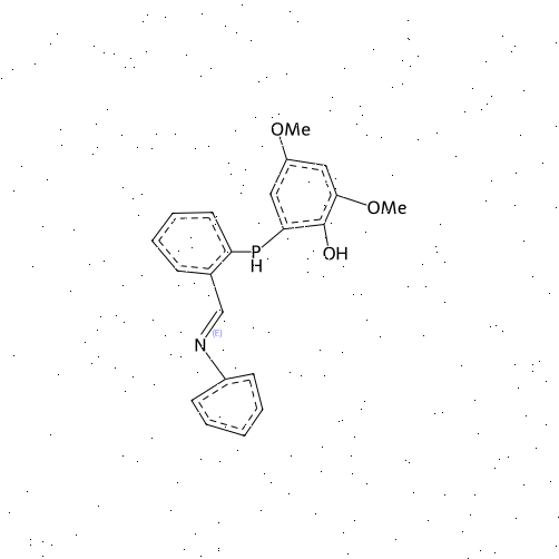 COc1cc(OC)c(O)c(Pc2ccccc2/C=N/c2ccccc2)c1